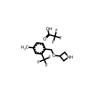 Cc1ccc(COC2CNC2)c(C(F)(F)F)c1.O=C(O)C(F)(F)F